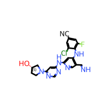 N#Cc1cc(F)c(Nc2cc(Nc3cc(N4CC[C@H](O)C4)ncn3)ncc2C=N)c(Cl)c1